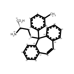 Cc1cccc(C2(SC[C@H](N)C(=O)O)c3ccccc3C=Cc3ccccc32)c1